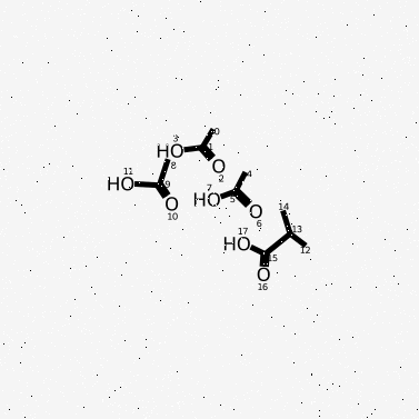 CC(=O)O.CC(=O)O.CC(=O)O.CC(C)C(=O)O